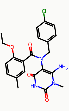 CCOc1ccc(C)cc1C(=O)N(Cc1ccc(Cl)cc1)c1c(N)n(C)c(=O)[nH]c1=O